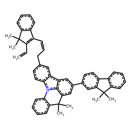 C=CC1=C(/C=C\Cc2ccc3c(c2)c2cc(-c4ccc5c(c4)C(C)(C)c4ccccc4-5)cc4c2n3-c2ccccc2C4(C)C)c2ccccc2C1(C)C